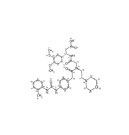 COc1ccc(C(CC(=O)O)NC(=O)CN(CCN2CCOCC2)C(=O)Cc2ccc(NC(=O)Nc3ccccc3C)cc2)cc1OC